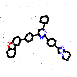 c1ccc(-c2cc(-c3ccc(-c4ccc5oc6ccccc6c5c4)cc3)nc(-c3ccc(-c4cn5ccccc5n4)cc3)n2)cc1